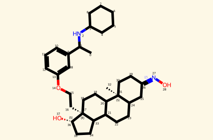 CC(NC1CCCCC1)c1cccc(OCC[C@]23CCC4C(CCC5C/C(=N\O)CC[C@@]54C)C2CC[C@@H]3O)c1